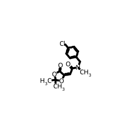 CN(Cc1ccc(Cl)cc1)C(=O)C=C1OC(C)(C)OC1=O